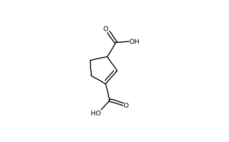 O=C(O)C1=CC(C(=O)O)CC1